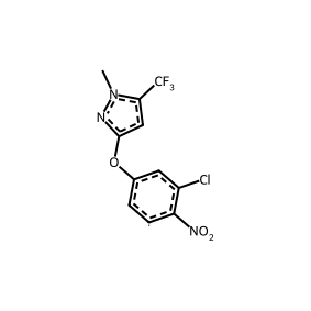 Cn1nc(Oc2c[c]c([N+](=O)[O-])c(Cl)c2)cc1C(F)(F)F